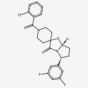 O=C(c1ccccc1Cl)N1CCC2(CC1)O[C@@H]1CC[C@@H](c3cc(F)cc(F)c3)N1C2=O